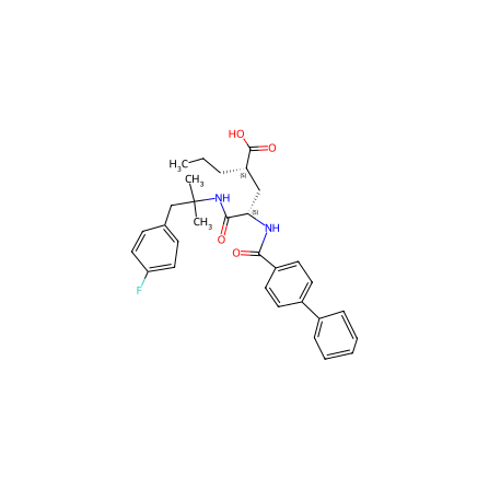 CCC[C@@H](C[C@H](NC(=O)c1ccc(-c2ccccc2)cc1)C(=O)NC(C)(C)Cc1ccc(F)cc1)C(=O)O